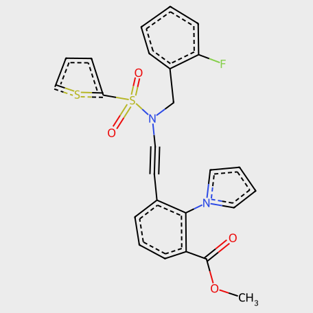 COC(=O)c1cccc(C#CN(Cc2ccccc2F)S(=O)(=O)c2cccs2)c1-n1cccc1